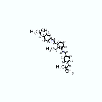 CC[n+]1c(/C=C/c2ccc(CC(C)C)cc2)cccc1/C=C/c1ccc(CC(C)C)cc1